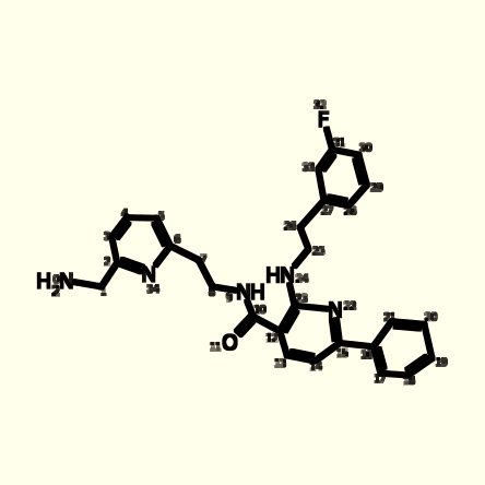 NCc1cccc(CCNC(=O)c2ccc(-c3ccccc3)nc2NCCc2cccc(F)c2)n1